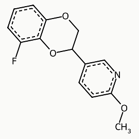 COc1ccc(C2COc3cccc(F)c3O2)cn1